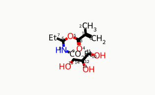 C=C(C)C(=O)OC(CC)NC(=O)OCC.OCC(O)CO